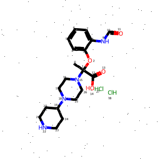 CC(Oc1ccccc1NC=O)(C(=O)O)N1CCN(C2CCNCC2)CC1.Cl.Cl